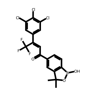 CC1(C)OB(O)c2ccc(C(=O)/C=C(/c3cc(Cl)c(Cl)c(Cl)c3)C(F)(F)F)cc21